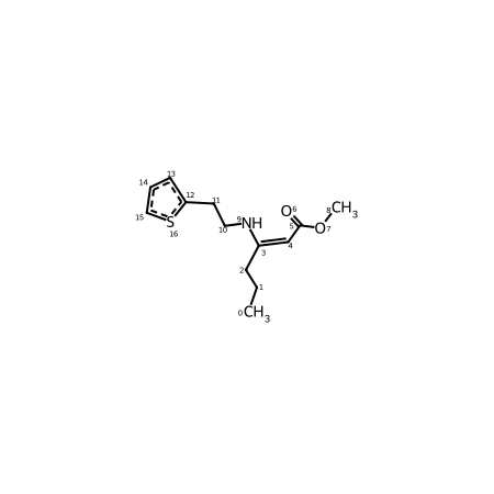 CCC/C(=C/C(=O)OC)NCCc1cccs1